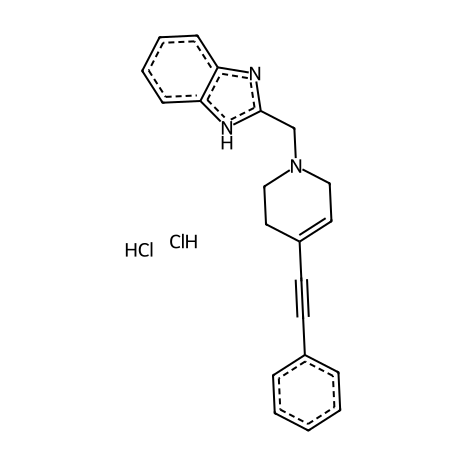 C(#Cc1ccccc1)C1=CCN(Cc2nc3ccccc3[nH]2)CC1.Cl.Cl